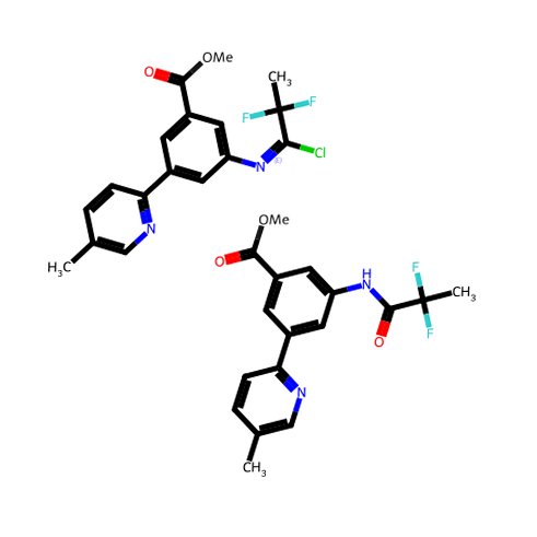 COC(=O)c1cc(/N=C(/Cl)C(C)(F)F)cc(-c2ccc(C)cn2)c1.COC(=O)c1cc(NC(=O)C(C)(F)F)cc(-c2ccc(C)cn2)c1